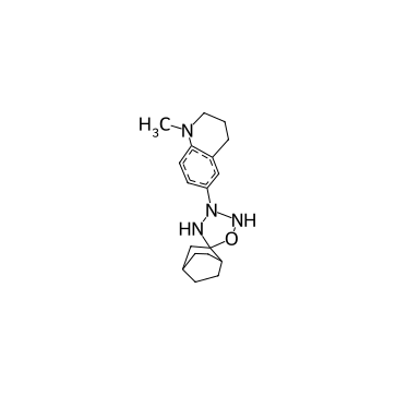 CN1CCCc2cc(N3NOC4(CC5CCC4CC5)N3)ccc21